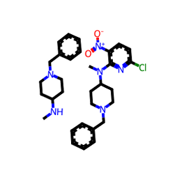 CN(c1nc(Cl)ccc1[N+](=O)[O-])C1CCN(Cc2ccccc2)CC1.CNC1CCN(Cc2ccccc2)CC1